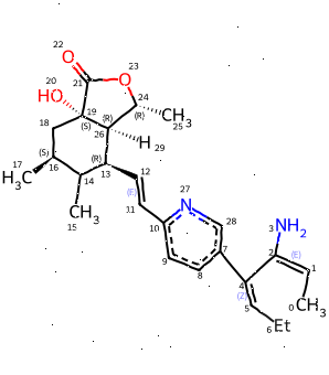 C/C=C(N)\C(=C/CC)c1ccc(/C=C/[C@H]2C(C)[C@@H](C)C[C@@]3(O)C(=O)O[C@H](C)[C@@H]23)nc1